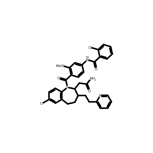 COc1cc(NC(=O)c2ccccc2Cl)ccc1C(=O)N1c2ccc(Cl)cc2CCC(CCc2ccccn2)C1CC(N)=O